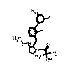 CSNC1CCN(C(=O)C(C)(C)O)C1Cc1cccc(-c2cc(C)cc(F)c2)c1F